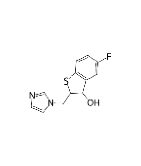 OC1c2cc(F)ccc2SC1Cn1ccnc1